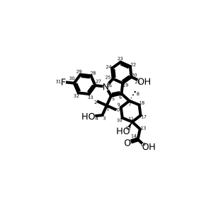 CC(C)(CO)c1c([C@]2(C)CC[C@@](O)(CC(=O)O)CC2)c2c(O)cccc2n1-c1ccc(F)cc1